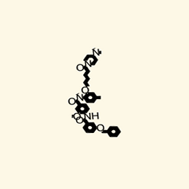 COc1cc(C(=O)N(C)c2ccc(C)cc2OCCCCCC(=O)N2CCC(N(C)C)CC2)ccc1NC(=O)c1cccc(OCc2ccccc2)c1